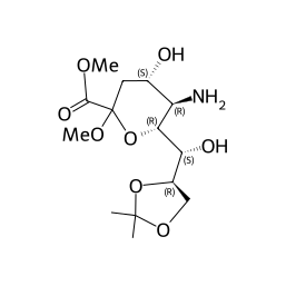 COC(=O)C1(OC)C[C@H](O)[C@@H](N)[C@H]([C@H](O)[C@H]2COC(C)(C)O2)O1